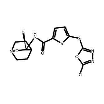 O=C(N[C@H]1CN2CCC1CC2)c1ccc(Sc2nnc(Cl)o2)s1